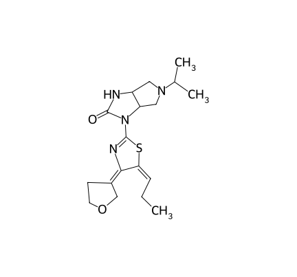 CC/C=c1/sc(N2C(=O)NC3CN(C(C)C)CC32)n/c1=C1\CCOC1